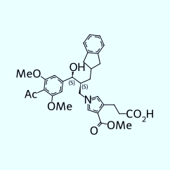 COC(=O)c1cn(C[C@H](CC2Cc3ccccc3C2)[C@H](O)c2cc(OC)c(C(C)=O)c(OC)c2)cc1CCC(=O)O